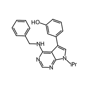 CC(C)n1cc(-c2cccc(O)c2)c2c(NCc3ccccc3)ncnc21